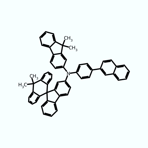 CC1(C)c2ccccc2-c2ccc(N(c3ccc(-c4ccc5ccccc5c4)cc3)c3ccc4c(c3)C3(c5ccccc5-4)c4ccccc4C(C)(C)c4ccccc43)cc21